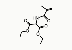 C=C(C)C(=O)NC(C(=O)OCC)C(=O)OCC